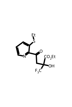 CCOC(=O)C(O)(CC(=O)c1ncccc1SCC)C(F)(F)F